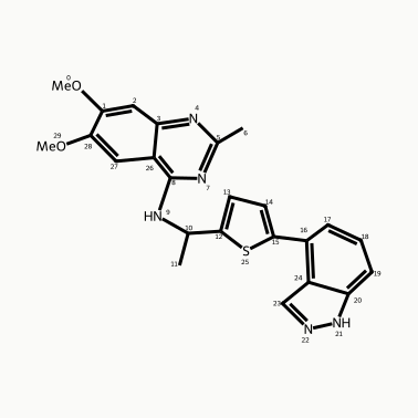 COc1cc2nc(C)nc(NC(C)c3ccc(-c4cccc5[nH]ncc45)s3)c2cc1OC